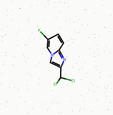 Fc1ccc2nc(C(Cl)Cl)cn2c1